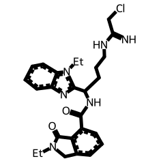 CCN1Cc2cccc(C(=O)NC(CCCNC(=N)CCl)c3nc4ccccc4n3CC)c2C1=O